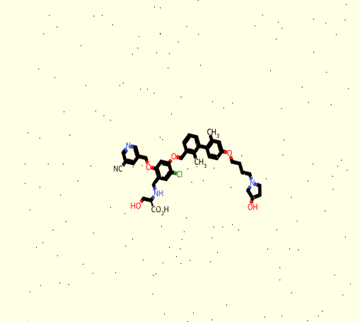 Cc1cc(OCCCCN2CCC(O)C2)ccc1-c1cccc(COc2cc(OCc3cncc(C#N)c3)c(CN[C@H](CO)C(=O)O)cc2Cl)c1C